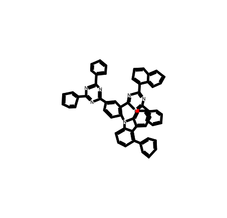 c1ccc(-c2nc(-c3ccccc3)nc(-c3ccc(-n4c5ccccc5c5c(-c6ccccc6)cccc54)c(-c4nc(-c5ccccc5)nc(-c5cccc6ccccc56)n4)c3)n2)cc1